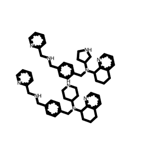 c1ccc(CNCc2ccc(CN(C3CCNC3)C3CCCc4cccnc43)cc2)nc1.c1ccc(CNCc2ccc(CN(C3CCNCC3)C3CCCc4cccnc43)cc2)nc1